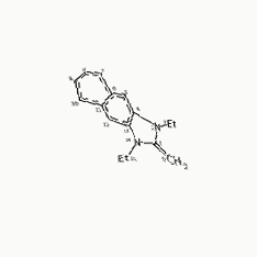 C=C1N(CC)c2cc3ccccc3cc2N1CC